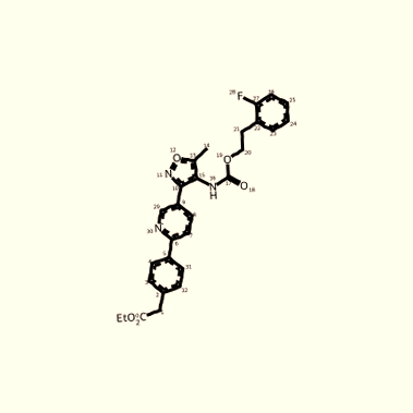 CCOC(=O)Cc1ccc(-c2ccc(-c3noc(C)c3NC(=O)OCCc3ccccc3F)cn2)cc1